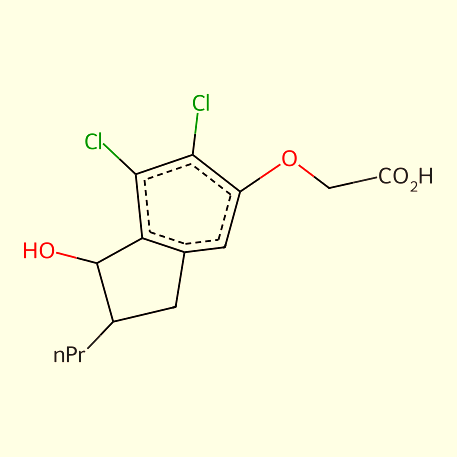 CCCC1Cc2cc(OCC(=O)O)c(Cl)c(Cl)c2C1O